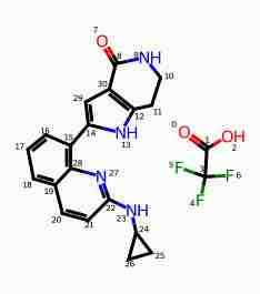 O=C(O)C(F)(F)F.O=C1NCCc2[nH]c(-c3cccc4ccc(NC5CC5)nc34)cc21